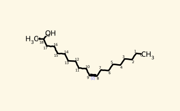 CCCCCCCC/C=C\CCCCCCCCC(C)O